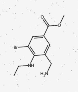 CCNc1c(Br)cc(C(=O)OC)cc1CN